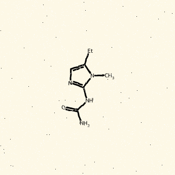 CCc1cnc(NC(N)=O)n1C